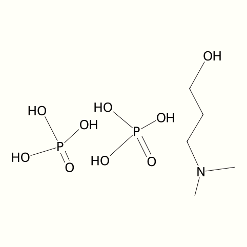 CN(C)CCCO.O=P(O)(O)O.O=P(O)(O)O